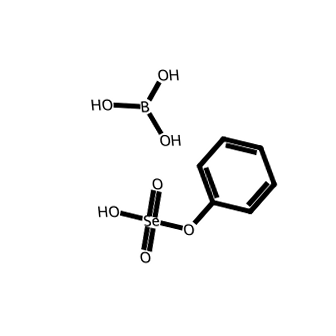 O=[Se](=O)(O)Oc1ccccc1.OB(O)O